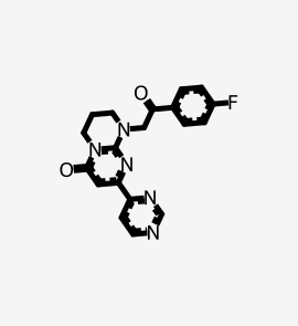 O=C(CN1CCCn2c1nc(-c1ccncn1)cc2=O)c1ccc(F)cc1